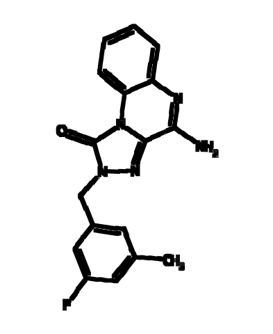 Cc1cc(F)cc(Cn2nc3c(N)nc4ccccc4n3c2=O)c1